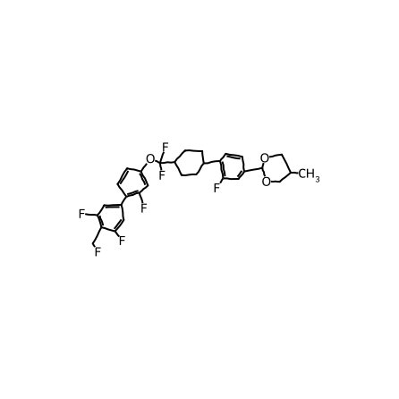 CC1COC(c2ccc(C3CCC(C(F)(F)Oc4ccc(-c5cc(F)c(CF)c(F)c5)c(F)c4)CC3)c(F)c2)OC1